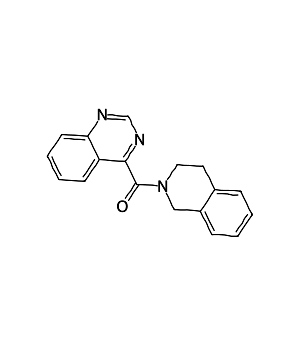 O=C(c1ncnc2ccccc12)N1CCc2ccccc2C1